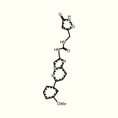 COc1cccc(-c2ccc3nc(NC(=O)NCc4cc(=O)[nH]o4)cn3n2)c1